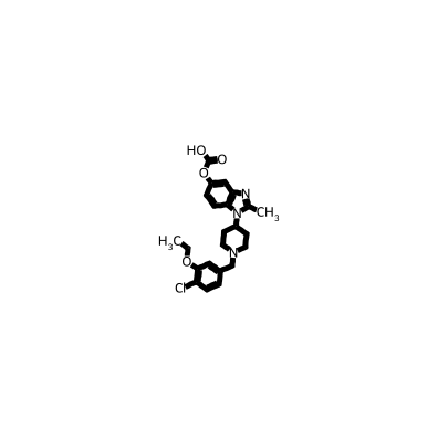 CCOc1cc(CN2CCC(n3c(C)nc4cc(OC(=O)O)ccc43)CC2)ccc1Cl